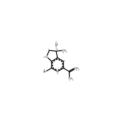 C=C(C)c1cc2c(c(Br)n1)OC[C@]2(C)CC